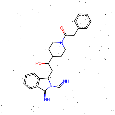 N=CN1C(=N)c2ccccc2C1CC(O)C1CCN(C(=O)Cc2ccccc2)CC1